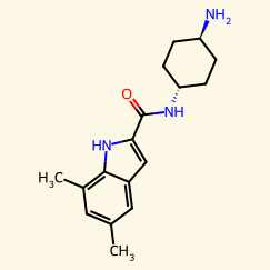 Cc1cc(C)c2[nH]c(C(=O)N[C@H]3CC[C@H](N)CC3)cc2c1